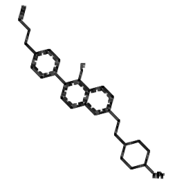 C=CCCc1ccc(-c2ccc3cc(CCC4CCC(CCC)CC4)ccc3c2F)cc1